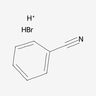 Br.N#Cc1ccccc1.[H+]